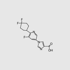 O=C(O)c1cn(-c2cnc(C3CCC(F)(F)CC3)c(F)c2)cn1